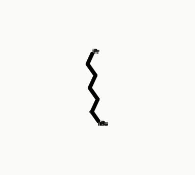 CCCC[CH]CCCCC(C)C